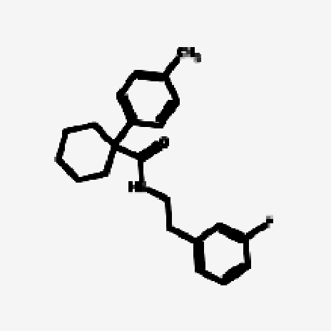 Cc1ccc(C2(C(=O)NCCc3cccc(F)c3)CCCCC2)cc1